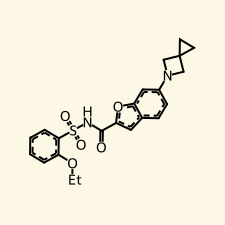 CCOc1ccccc1S(=O)(=O)NC(=O)c1cc2ccc(N3CC4(CC4)C3)cc2o1